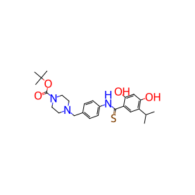 CC(C)c1cc(C(=S)Nc2ccc(CN3CCN(C(=O)OC(C)(C)C)CC3)cc2)c(O)cc1O